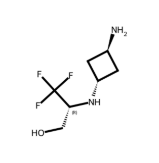 N[C@H]1C[C@H](N[C@H](CO)C(F)(F)F)C1